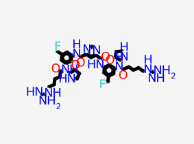 N=C(N)NCCCCC(=O)Nc1cc(CF)cc(NC(=O)c2cc(C(=O)Nc3cc(CF)cc(NC(=O)CCCCNC(=N)N)c3OC3CCNC3)ncn2)c1OC1CCNC1